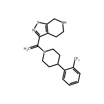 C=C(c1nsc2c1CCNC2)N1CCC(c2ccccc2C(F)(F)F)CC1